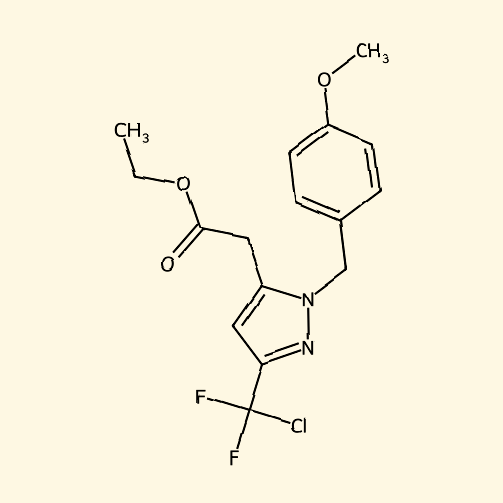 CCOC(=O)Cc1cc(C(F)(F)Cl)nn1Cc1ccc(OC)cc1